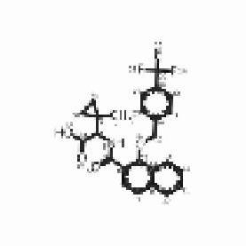 CC1(C(NC(=O)c2ccc3ccccc3c2OCc2ccc(C(F)(F)F)cc2)C(=O)O)CC1